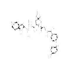 CC(NC(=O)[C@@H]1C[C@](F)(CF)CN1C(=O)CNC(=O)c1ccc(Oc2ccc(F)cc2)cc1)c1cc2cnccc2[nH]1